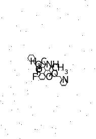 CC1=C(C(=O)OCCc2ccccn2)C(c2cccc(F)c2F)C(C(=O)OCC2CCCCC2)=C(C)N1